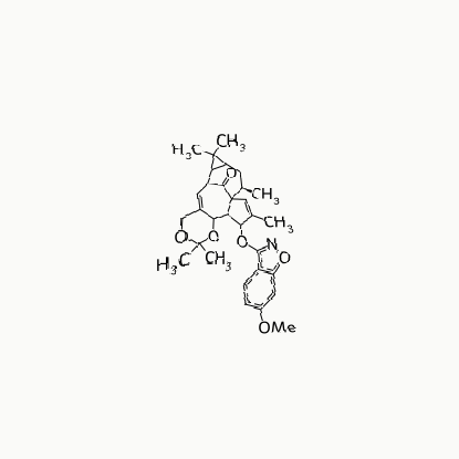 COc1ccc2c(OC3C(C)=CC45C(=O)C(C=C6COC(C)(C)OC6C34)C3C(C[C@H]5C)C3(C)C)noc2c1